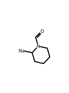 O=CN1CCCC[CH]1[Na]